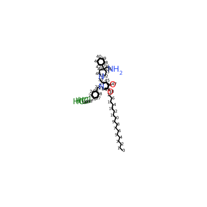 CCCCCCCCCCCCCCCCCCOc1cn(Cc2ccccc2)c(CN2CCC(CN)(c3ccccc3)CC2)cc1=O.Cl.Cl.Cl